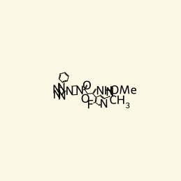 CON=C(C)c1ncc(F)c2c(C(=O)C(=O)N3CCN(c4nnnn4-c4ccccc4)CC3)c[nH]c12